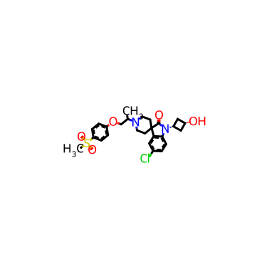 CC(COc1ccc(S(C)(=O)=O)cc1)N1CCC2(CC1)C(=O)N([C@H]1C[C@@H](O)C1)c1ccc(Cl)cc12